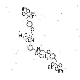 CCO[C@@H](Cc1ccc(OCCc2nc(-c3cccc(-c4nc(CCOc5ccc(C[C@H](OCC)C(=O)OC(C)C)cc5)c(C)o4)c3)oc2C)cc1)C(=O)OC(C)C